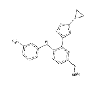 CNSc1ccc(Nc2cccc(C(F)(F)F)c2)c(-c2cn(C3CC3)cn2)c1